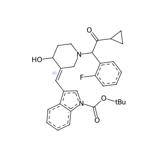 CC(C)(C)OC(=O)n1cc(/C=C2\CN(C(C(=O)C3CC3)c3ccccc3F)CCC2O)c2ccccc21